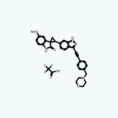 COc1ccc2c(c1)C1(CC1c1ccc3c(C#Cc4ccc(CN5CCOCC5)cc4)n[nH]c3c1)C(=O)N2.O=C(O)C(F)(F)F